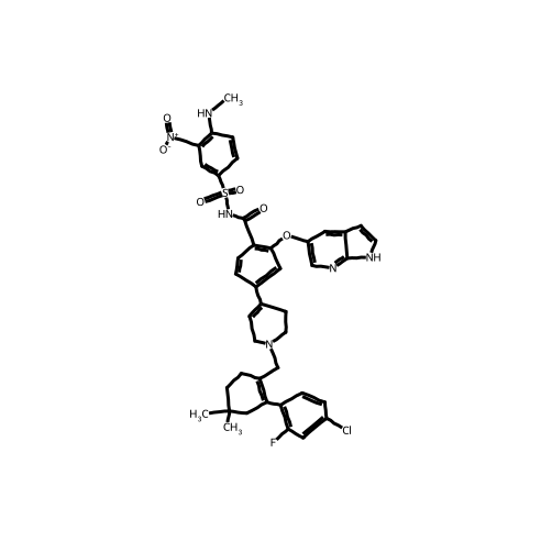 CNc1ccc(S(=O)(=O)NC(=O)c2ccc(C3=CCN(CC4=C(c5ccc(Cl)cc5F)CC(C)(C)CC4)CC3)cc2Oc2cnc3[nH]ccc3c2)cc1[N+](=O)[O-]